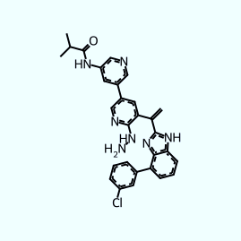 C=C(c1nc2c(-c3cccc(Cl)c3)cccc2[nH]1)c1cc(-c2cncc(NC(=O)C(C)C)c2)cnc1NN